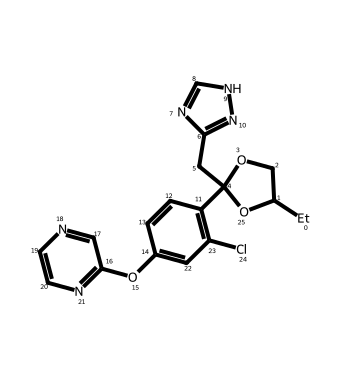 CCC1COC(Cc2nc[nH]n2)(c2ccc(Oc3cnccn3)cc2Cl)O1